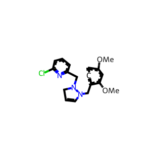 COc1ccc(CN2C=CCN2Cc2cccc(Cl)n2)c(OC)c1